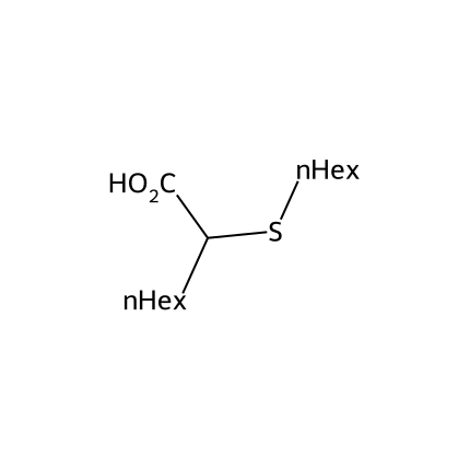 CCCCCCSC(CCCCCC)C(=O)O